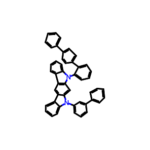 c1ccc(-c2ccc(-c3ccccc3-n3c4ccccc4c4cc5c6ccccc6n(-c6cccc(-c7ccccc7)c6)c5cc43)cc2)cc1